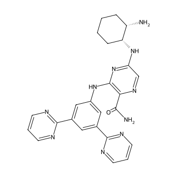 NC(=O)c1ncc(N[C@@H]2CCCC[C@@H]2N)nc1Nc1cc(-c2ncccn2)cc(-c2ncccn2)c1